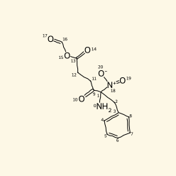 NC(Cc1ccccc1)(C(=O)CCC(=O)OC=O)[N+](=O)[O-]